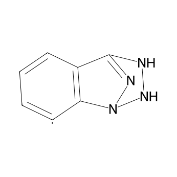 [c]1cccc2c3nn(c12)NN3